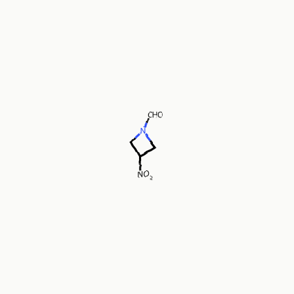 O=CN1CC([N+](=O)[O-])C1